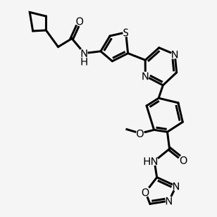 COc1cc(-c2cncc(-c3cc(NC(=O)CC4CCC4)cs3)n2)ccc1C(=O)Nc1nnco1